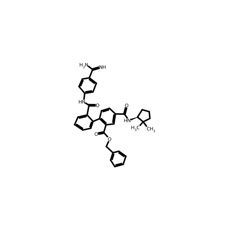 CC1(C)CCC[C@@H]1NC(=O)c1ccc(-c2ccccc2C(=O)Nc2ccc(C(=N)N)cc2)c(C(=O)OCc2ccccc2)c1